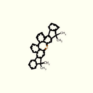 CC1(C)c2ccccc2-c2c1cc1sc3cc4c(c5cccc(c6cccc2c16)c35)-c1ccccc1C4(C)C